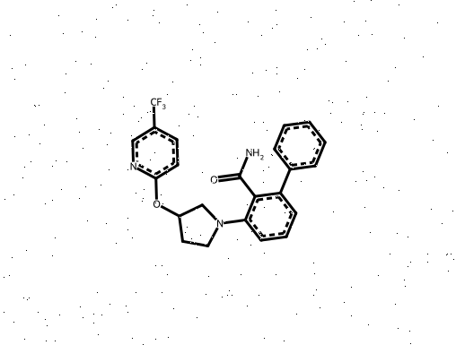 NC(=O)c1c(-c2ccccc2)cccc1N1CCC(Oc2ccc(C(F)(F)F)cn2)C1